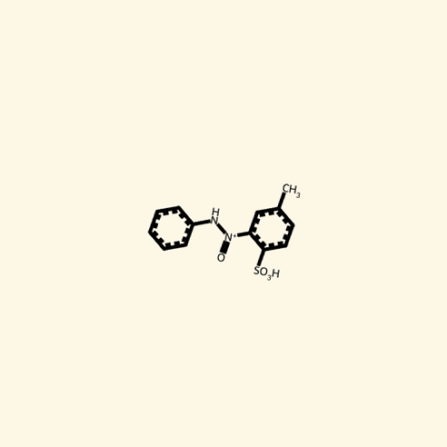 Cc1ccc(S(=O)(=O)O)c([N+](=O)Nc2ccccc2)c1